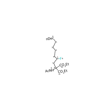 CCCCCCCCCCCCCCC(F)CC(NC(C)=O)(C(=O)OCC)C(=O)OCC